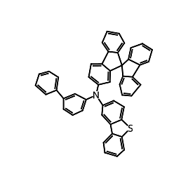 c1ccc(-c2cccc(N(c3ccc4c(c3)C3(c5ccccc5-c5ccccc53)c3ccccc3-4)c3ccc4sc5ccccc5c4c3)c2)cc1